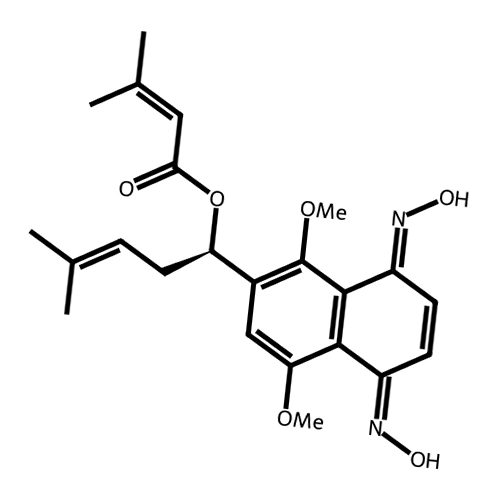 COc1cc([C@@H](CC=C(C)C)OC(=O)C=C(C)C)c(OC)c2c1C(=NO)C=CC2=NO